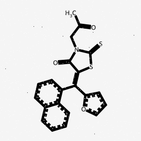 CC(=O)CN1C(=O)/C(=C(/c2ccco2)c2cccc3ccccc23)SC1=S